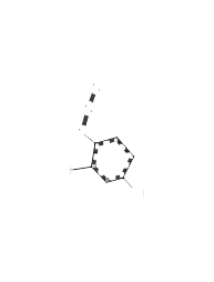 [N-]=[N+]=Nc1ccc(Cl)cc1I